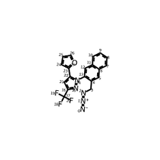 [N-]=[N+]=NCc1cc2ccccc2cc1-n1nc(C(F)(F)F)cc1-c1ccco1